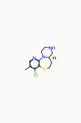 Cc1cnc2c(c1Cl)SCC[C@@H]1CNCCN21